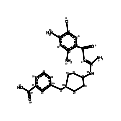 N/C(=N\C(=O)c1nc(Cl)c(N)nc1N)NC1CCN(Cc2ccnc(C(=O)O)c2)CC1